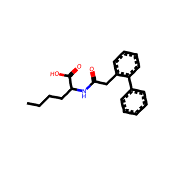 CCCCC(NC(=O)Cc1ccccc1-c1ccccc1)C(=O)O